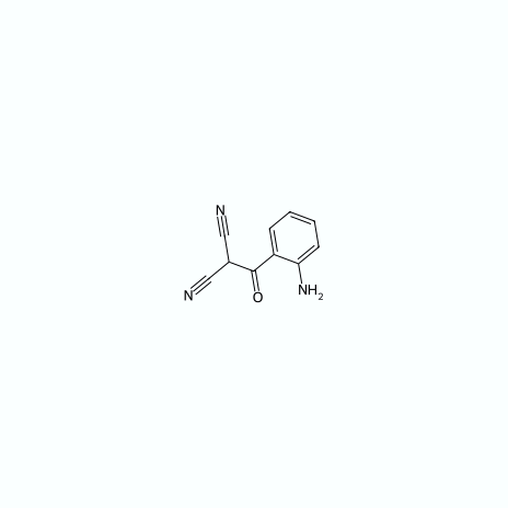 N#CC(C#N)C(=O)c1ccccc1N